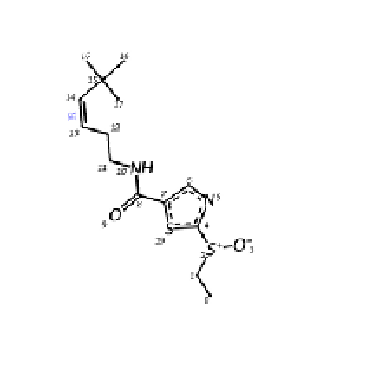 CC[S+]([O-])c1ncc(C(=O)NCC/C=C\C(C)(C)C)s1